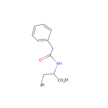 CCOC(=O)C(CC(C)C)NC(=O)Cc1ccccc1